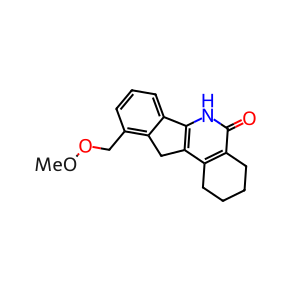 COOCc1cccc2c1Cc1c-2[nH]c(=O)c2c1CCCC2